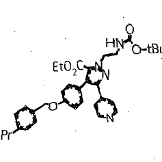 CCOC(=O)c1c(-c2ccc(OCc3ccc(C(C)C)cc3)cc2)c(-c2ccncc2)nn1CCNC(=O)OC(C)(C)C